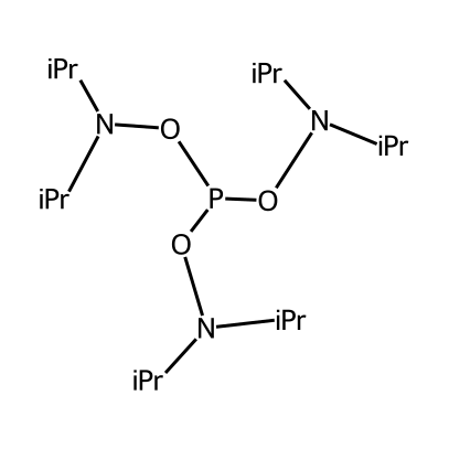 CC(C)N(OP(ON(C(C)C)C(C)C)ON(C(C)C)C(C)C)C(C)C